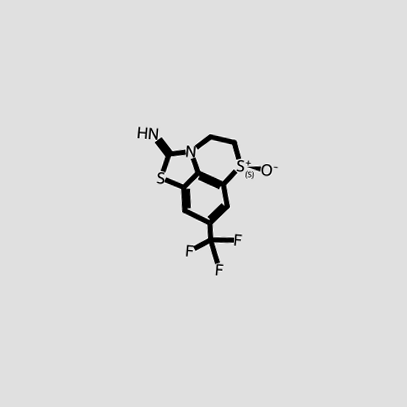 N=c1sc2cc(C(F)(F)F)cc3c2n1CC[S@@+]3[O-]